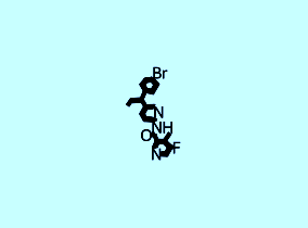 CC=C(c1ccc(Br)cc1)c1ccc(NC(=O)c2cncc(F)c2C)nc1